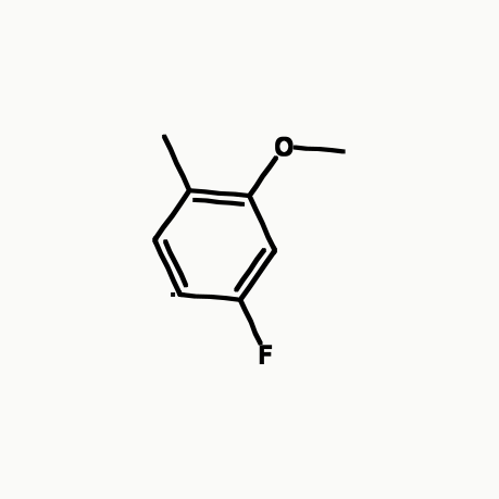 COc1cc(F)[c]cc1C